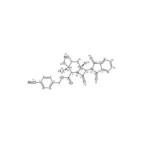 COc1ccc(COC(=O)C2N3C(=O)C(N4C(=O)c5ccccc5C4=O)[C@H]3SC[C@@]2(C)O[N+](=O)[O-])cc1